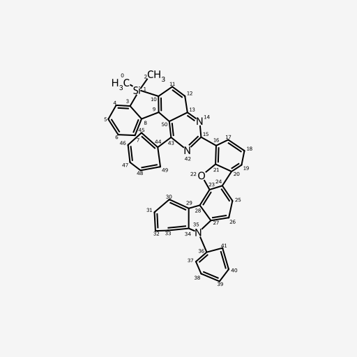 C[Si]1(C)c2ccccc2-c2c1ccc1nc(-c3cccc4c3oc3c4ccc4c3c3ccccc3n4-c3ccccc3)nc(-c3ccccc3)c21